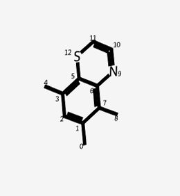 Cc1cc(C)c2c(c1C)N=C=CS2